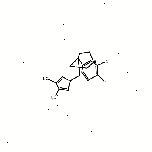 Cc1cn(CC23CNCCC2(c2ccc(Cl)c(Cl)c2)C3)cc1C#N